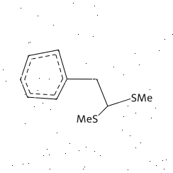 CSC(Cc1ccccc1)SC